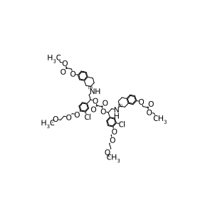 CCOC(=O)COc1ccc2c(c1)C[C@@H](NCC(OC(=O)C(=O)OC(CN[C@H]1CCc3ccc(OCC(=O)OCC)cc3C1)c1ccc(OCOCCOC)c(Cl)c1)c1ccc(OCOCCOC)c(Cl)c1)CC2